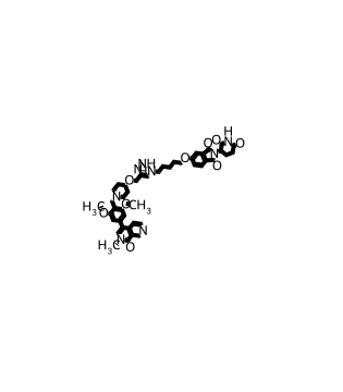 COc1cc(-c2cn(C)c(=O)c3cnccc23)cc(OC)c1CN1CCC(OC/C(=C/NCCCCCOc2ccc3c(c2)C(=O)N(C2CCC(=O)NC2=O)C3=O)N=N)CC1